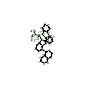 CC(C)C1=Cc2c(-c3cccc4ccccc34)cccc2[CH]1[Zr]([Cl])([Cl])([CH]1c2ccccc2-c2ccccc21)[SiH](C)C